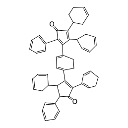 O=C1C(c2ccccc2)=C(C2=CC=C(C3=C(C4=CCCC=C4)C(=O)C(c4ccccc4)C3C3C=CC=CC3)CC2)C(C2C=CC=CC2)=C1C1CC=CCC1